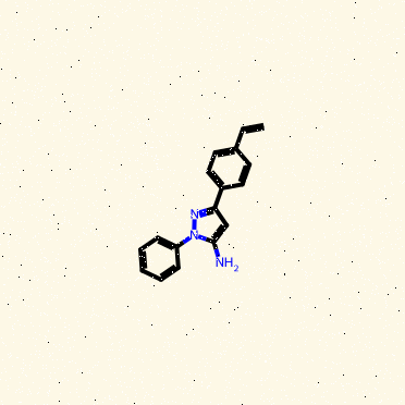 C=Cc1ccc(-c2cc(N)n(-c3ccccc3)n2)cc1